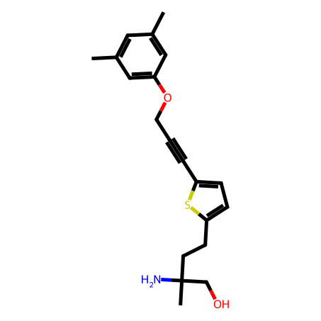 Cc1cc(C)cc(OCC#Cc2ccc(CCC(C)(N)CO)s2)c1